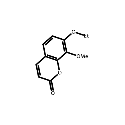 CCOc1ccc2ccc(=O)oc2c1OC